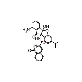 CC(C)c1ccc2c(c1)OC1(O)C3=C(C(=O)C21NC(=O)c1cc2ccccc2c(=O)[nH]1)C(N)CC=C3